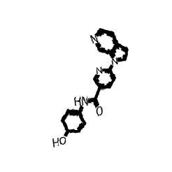 O=C(NC1=CCC(O)C=C1)c1ccc(-n2ccc3ccncc32)nc1